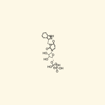 O=c1ccn([C@@H]2O[C@H](COP(=O)(O)OP(=O)(O)O)C(O)C2O)c(=O)n1Cc1n[nH]c2ccccc12